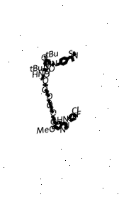 COc1cc2ncnc(Nc3ccc(F)c(Cl)c3)c2cc1OCCOCCOCCOCCOCCOCC(=O)NC(C(=O)N1C[C@H](OC(C)(C)C)C[C@H]1C(=O)NCc1ccc(-c2scnc2C)cc1)C(C)(C)C